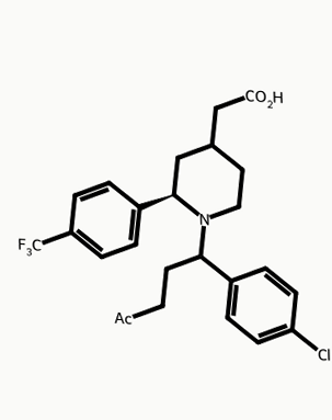 CC(=O)CCC(c1ccc(Cl)cc1)N1CCC(CC(=O)O)C[C@@H]1c1ccc(C(F)(F)F)cc1